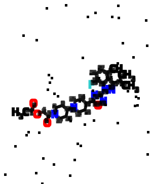 CC(=O)OCC(=O)N1CCC(N2CCC(c3nc(-n4nc(C(C)C)c5c(C)ccc(F)c54)no3)CC2)CC1